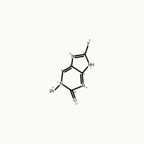 CC(C)n1cc2nc(F)[nH]c2nc1=O